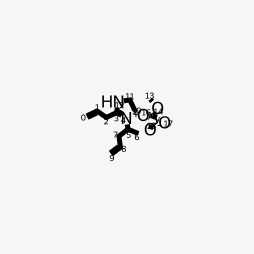 C=CCC1=[N+](C(C)CC=C)CCN1.COS(=O)(=O)[O-]